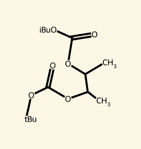 C[C](OC(=O)OC(C)(C)C)C(C)OC(=O)OCC(C)C